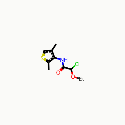 CCOC(Cl)C(=O)Nc1c(C)csc1C